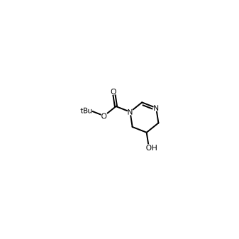 CC(C)(C)OC(=O)N1C=NCC(O)C1